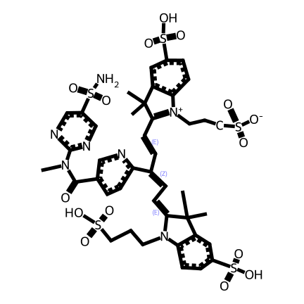 CN(C(=O)c1ccc(C(=C\C=C2\N(CCCS(=O)(=O)O)c3ccc(S(=O)(=O)O)cc3C2(C)C)/C=C/C2=[N+](CCCS(=O)(=O)[O-])c3ccc(S(=O)(=O)O)cc3C2(C)C)nc1)c1ncc(S(N)(=O)=O)cn1